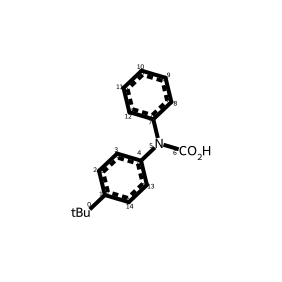 CC(C)(C)c1ccc(N(C(=O)O)c2ccccc2)cc1